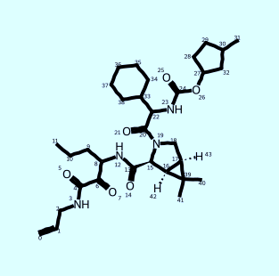 C=CCNC(=O)C(=O)C(CCC)NC(=O)[C@@H]1[C@H]2[C@@H](CN1C(=O)C(NC(=O)OC1CCC(C)C1)C1CCCCC1)C2(C)C